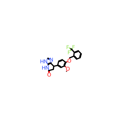 COc1cc(C2CC(=O)Nc3[nH]cnc32)ccc1OCc1ccccc1C(F)(F)F